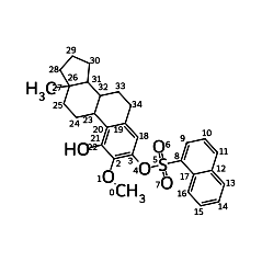 COc1c(OS(=O)(=O)c2cccc3ccccc23)cc2c(c1O)C1CCC3(C)CCCC3C1CC2